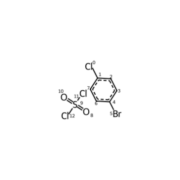 Clc1ccc(Br)cc1.O=S(=O)(Cl)Cl